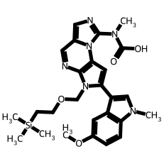 COc1ccc2c(c1)c(-c1cc3c(ncc4cnc(N(C)C(=O)O)n43)n1COCC[Si](C)(C)C)cn2C